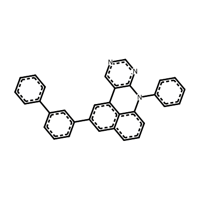 c1ccc(-c2cccc(-c3cc4c5c(cccc5c3)N(c3ccccc3)c3ncncc3-4)c2)cc1